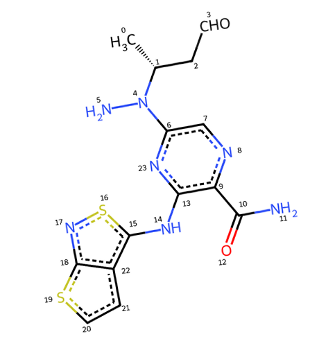 C[C@H](CC=O)N(N)c1cnc(C(N)=O)c(Nc2snc3sccc23)n1